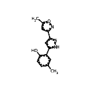 Cc1ccc(O)c(-c2cc(-c3cc(C)on3)n[nH]2)c1